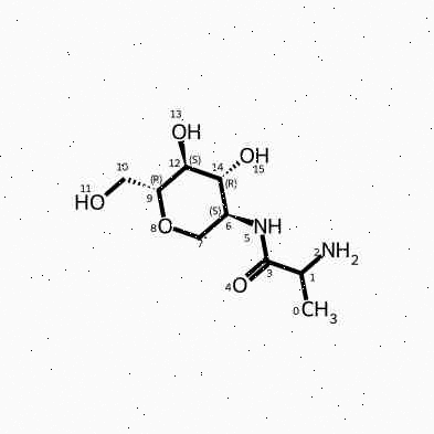 CC(N)C(=O)N[C@H]1[CH]O[C@H](CO)[C@@H](O)[C@@H]1O